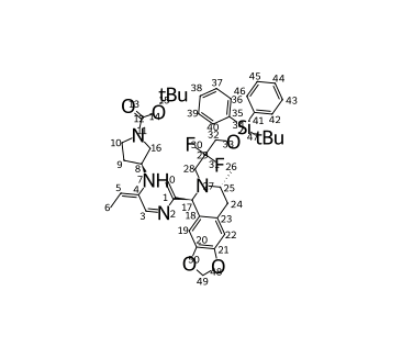 C=C(/N=C\C(=C/C)N[C@H]1CCN(C(=O)OC(C)(C)C)C1)[C@@H]1c2cc3c(cc2C[C@@H](C)N1CC(F)(F)CO[Si](c1ccccc1)(c1ccccc1)C(C)(C)C)OCO3